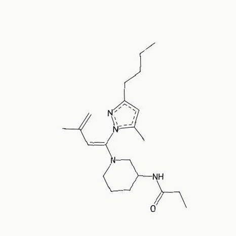 C=C(C)/C=C(/N1CCCC(NC(=O)CC)C1)n1nc(CCCC)cc1C